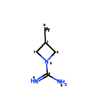 CC(C)C1CN(C(=N)N)C1